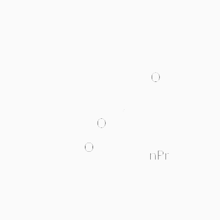 CCCC1OC2CCC3OC13O2